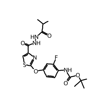 CC(C)C(=O)NNC(=O)c1csc(Oc2ccc(NC(=O)OC(C)(C)C)c(F)c2)n1